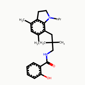 CCCN1CCc2c(C)cc(C)c(CC(C)(C)CNC(=O)c3ccccc3O)c21